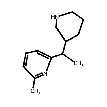 Cc1cccc(C(C)C2CCCNC2)n1